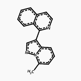 Cc1cccc2c(-c3nccc4ccccc34)cnn12